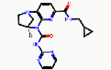 O=C(NCC1CC1)c1ccc2c(n1)N(C(=O)Nc1ncccn1)[C@H]1CCN2C1